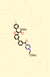 CNC(=O)c1c(-c2ccc(F)cc2)oc2ccc(-c3cccc(C(=O)N4CCN(CCOC)CC4)c3)cc12